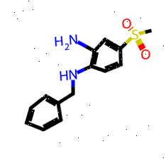 CS(=O)(=O)c1ccc(NCc2ccccc2)c(N)c1